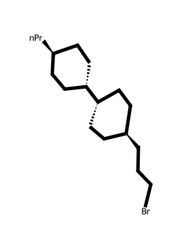 CCC[C@H]1CC[C@H]([C@H]2CC[C@H](CCCBr)CC2)CC1